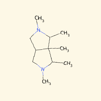 CC1N(C)CC2CN(C)C(C)C21C